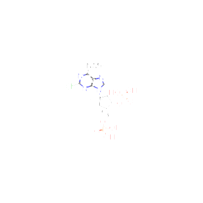 CNc1nc(Cl)nc2c1ncn2[C@]1(C)C[C@H](COP(=O)(O)O)[C@@H](OP(=O)(O)O)C1